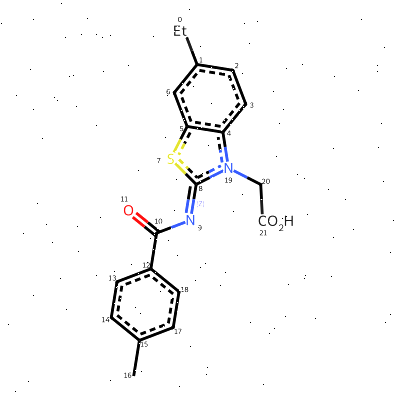 CCc1ccc2c(c1)s/c(=N\C(=O)c1ccc(C)cc1)n2CC(=O)O